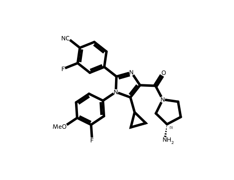 COc1ccc(-n2c(-c3ccc(C#N)c(F)c3)nc(C(=O)N3CC[C@H](N)C3)c2C2CC2)cc1F